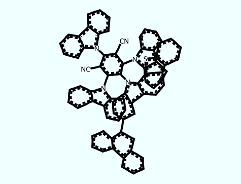 N#Cc1c(-n2c3ccccc3c3ccccc32)c(C#N)c(-n2c3ccccc3c3ccccc32)c(-n2c3ccc(-c4cc5ccccc5c5ccccc45)cc3c3ccc4c5ccccc5sc4c32)c1-n1c2ccccc2c2ccccc21